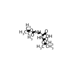 CC(C)(C)OC(=O)NCC[C@@H](NC(=O)OC(C)(C)C)C(=O)O